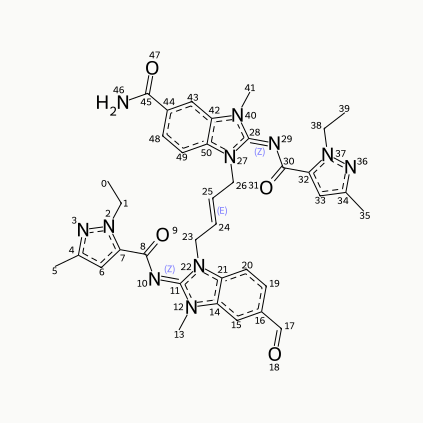 CCn1nc(C)cc1C(=O)/N=c1/n(C)c2cc(C=O)ccc2n1C/C=C/Cn1/c(=N\C(=O)c2cc(C)nn2CC)n(C)c2cc(C(N)=O)ccc21